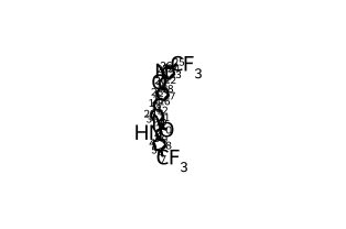 O=C(Nc1ccc(C(F)(F)F)cc1)N1CCC(Cc2cccc(Oc3ccc(C(F)(F)F)cn3)c2)CC1